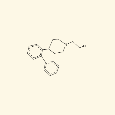 OCCN1CCC(c2ccccc2-c2ccccc2)CC1